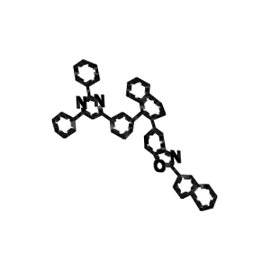 c1ccc(-c2cc(-c3cccc(-c4c(-c5ccc6oc(-c7ccc8ccccc8c7)nc6c5)ccc5ccccc45)c3)nc(-c3ccccc3)n2)cc1